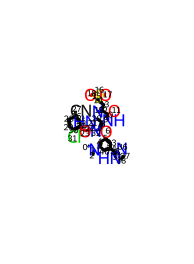 CN(C)c1cc(OC2=C3NC(=O)C(CCS(C)(=O)=O)N=C3NC(Oc3cc(C#N)ccc3Cl)=N2)cc(C2=NCCN2)c1